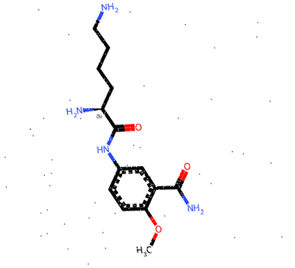 COc1ccc(NC(=O)[C@@H](N)CCCCN)cc1C(N)=O